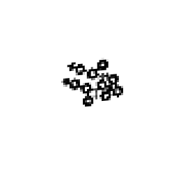 CC(C)(C)c1ccc(-c2ccc(Nc3cc(Nc4ccc(-c5ccc(C(C)(C)C)cc5)cc4-c4ccccc4)cc(C4(c5ccccc5)c5ccccc5-c5ccccc54)c3)c(-c3ccccc3)c2)cc1